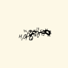 CCOC(=O)C1=NC(NC(=O)C2Cc3ccccc3O2)CN1C